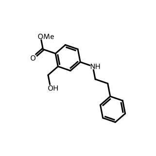 COC(=O)c1ccc(NCCc2ccccc2)cc1CO